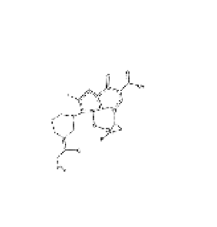 COc1c(N2CCCC(=C(Cl)CN)C2)c(F)cc2c(=O)c(C(=O)O)cn(C3CC3F)c12